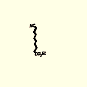 CCOC(=O)CCCCCC/C=C/C#N